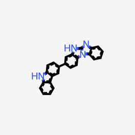 c1ccc2c(c1)nc1[nH]c3cc(-c4ccc5[nH]c6ccccc6c5c4)ccc3n12